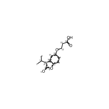 CC(C)n1c(=O)oc2ccc(OCCC(=O)O)cc21